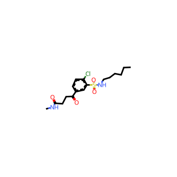 CCCCCCNS(=O)(=O)c1cc(C(=O)CCC(=O)NC)ccc1Cl